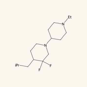 CCN1CCC(N2CCC(CC(C)C)C(F)(F)C2)CC1